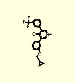 Cn1cc(-c2cccc(OCC3CC3)c2)c(=O)c(-c2cccc(C(F)(F)F)c2)c1